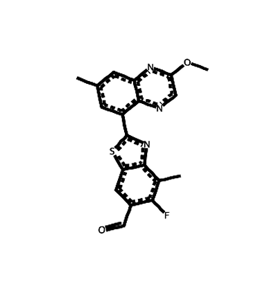 COc1cnc2c(-c3nc4c(C)c(F)c(C=O)cc4s3)cc(C)cc2n1